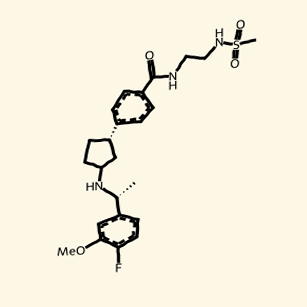 COc1cc([C@@H](C)NC2CC[C@H](c3ccc(C(=O)NCCNS(C)(=O)=O)cc3)C2)ccc1F